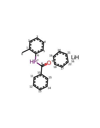 Cc1ccccc1PC(=O)c1ccccc1.[LiH].c1ccccc1